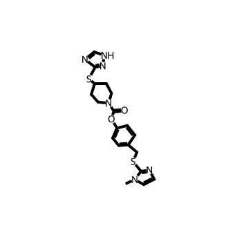 Cn1ccnc1SCc1ccc(OC(=O)N2CCC(Sc3nc[nH]n3)CC2)cc1